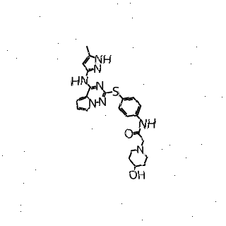 Cc1cc(Nc2nc(Sc3ccc(NC(=O)CN4CCC(O)CC4)cc3)nn3cccc23)n[nH]1